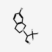 O=CC(N1CCc2ccc(Br)cc2C1)C(F)(F)F